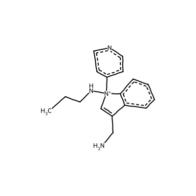 CCCN[N+]1(c2ccncc2)C=C(CN)c2ccccc21